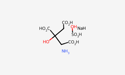 N.O=C(O)CC(O)(CC(=O)O)C(=O)O.O=S(=O)(O)O.[NaH]